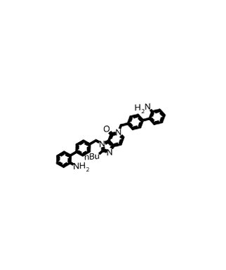 CCCCc1nc2ccn(Cc3ccc(-c4ccccc4N)cc3)c(=O)c2n1Cc1ccc(-c2ccccc2N)cc1